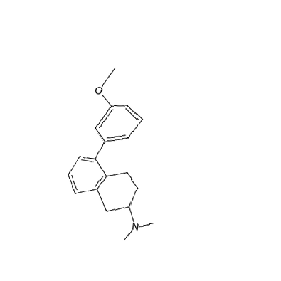 COc1cccc(-c2cccc3c2CCC(N(C)C)C3)c1